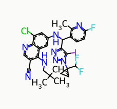 Cc1nc(F)ccc1[C@H](Nc1cc(Cl)c2ncc(C#N)c(NCC(C)(C)C)c2c1)c1nnn(C2(C(F)F)CC2)c1I